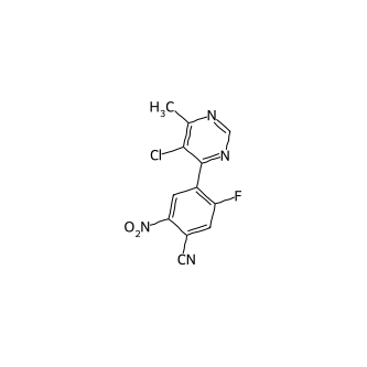 Cc1ncnc(-c2cc([N+](=O)[O-])c(C#N)cc2F)c1Cl